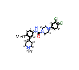 COc1ccc(NC(=O)N2CCN(c3ccc(Cl)c(Cl)c3)CC2)cc1C1CCN(C(C)C)CC1